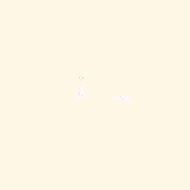 COc1cc(N)ccc1NC(=O)C(C)C